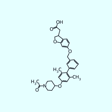 CC(=O)N1CCC(Oc2cc(C)c(-c3cccc(COc4ccc5c(c4)OCC5CC(=O)O)c3)c(C)c2)CC1